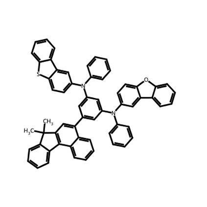 CC1(C)c2ccccc2-c2c1cc(-c1cc(N(c3ccccc3)c3ccc4oc5ccccc5c4c3)cc(N(c3ccccc3)c3ccc4sc5ccccc5c4c3)c1)c1ccccc21